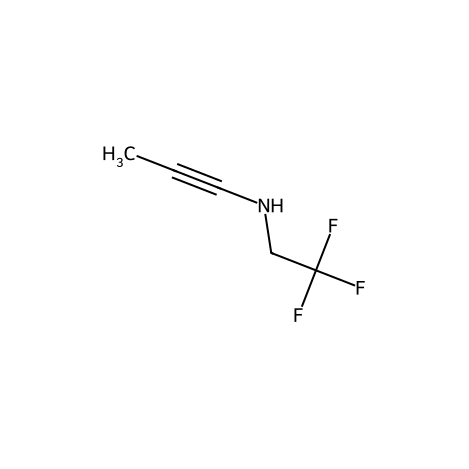 CC#CNCC(F)(F)F